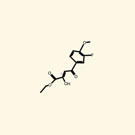 CCOC(=O)/C(O)=C/C(=O)c1ccc(OC)c(F)c1